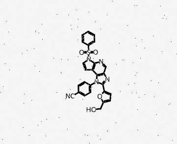 N#Cc1ccc(-n2c(-c3ccc(CO)o3)nc3cnc4c(ccn4S(=O)(=O)c4ccccc4)c32)cc1